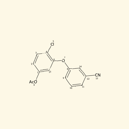 CC(=O)Oc1ccc(Cl)c(Oc2cccc(C#N)c2)c1